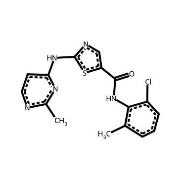 Cc1nccc(Nc2ncc(C(=O)Nc3c(C)cccc3Cl)s2)n1